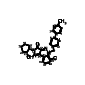 Cc1ccc(-c2ccc(Cn3nc4c(=O)n([C@@H]5CCCC[C@H]5O)nc-4c4cccc(Cl)c43)cn2)cn1